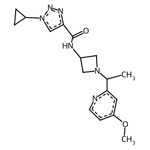 COc1ccnc(C(C)N2CC(NC(=O)c3cn(C4CC4)nn3)C2)c1